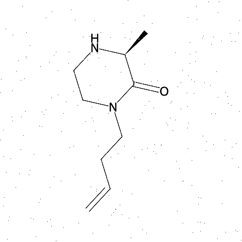 C=CCCN1CCN[C@@H](C)C1=O